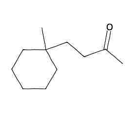 CC(=O)CCC1(C)CCCCC1